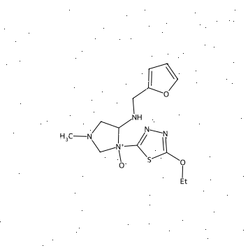 CCOc1nnc([N+]2([O-])CN(C)CC2NCc2ccco2)s1